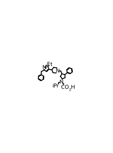 CCn1nc(Cc2ccccc2)cc1C1CCN(CC2CC(N(CC(=O)O)CC(C)C)CC2c2ccccc2)CC1